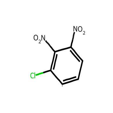 O=[N+]([O-])c1cc[c]c(Cl)c1[N+](=O)[O-]